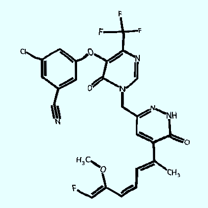 COC(/C=C\C=C(/C)c1cc(Cn2cnc(C(F)(F)F)c(Oc3cc(Cl)cc(C#N)c3)c2=O)n[nH]c1=O)=C\F